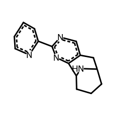 c1ccc(-c2ncc3c(n2)C2CCCC(C3)N2)nc1